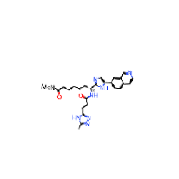 CNC(=O)CCCCC[C@H](NC(=O)CCc1nnc(C)[nH]1)c1ncc(-c2ccc3ccncc3c2)[nH]1